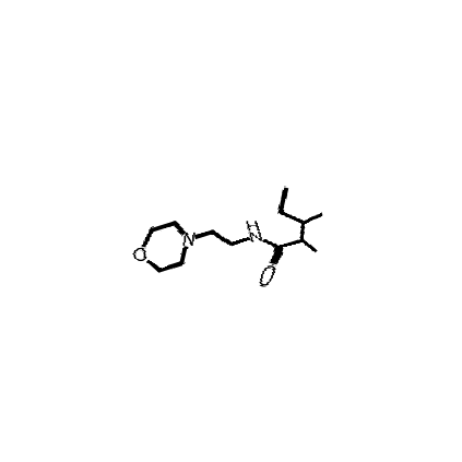 CCC(C)C(C)C(=O)NCCN1CCOCC1